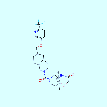 O=C1CO[C@H]2CCN(C(=O)N3CCC4CC(COc5ccc(C(F)(F)F)nc5)CCC4C3)C[C@H]2N1